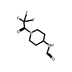 O=CNC1CCN(C(=O)C(F)(F)F)CC1